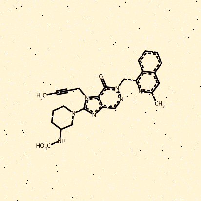 CC#CCn1c(N2CCCC(NC(=O)O)C2)nc2cnn(Cc3nc(C)cc4ccccc34)c(=O)c21